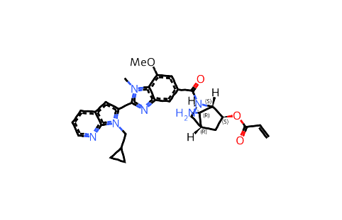 C=CC(=O)O[C@H]1C[C@@H]2CN(C(=O)c3cc(OC)c4c(c3)nc(-c3cc5cccnc5n3CC3CC3)n4C)[C@H]1[C@@H]2N